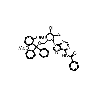 COc1ccccc1C(OCC1CC(O)C(C(C)=O)N1n1cnc2c(NC(=O)c3ccccc3)ncnc21)(c1ccccc1)c1ccccc1OC